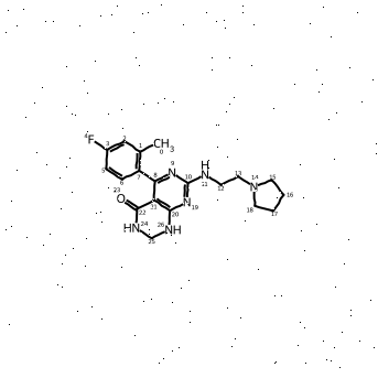 Cc1cc(F)ccc1-c1nc(NCCN2CCCC2)nc2c1C(=O)NCN2